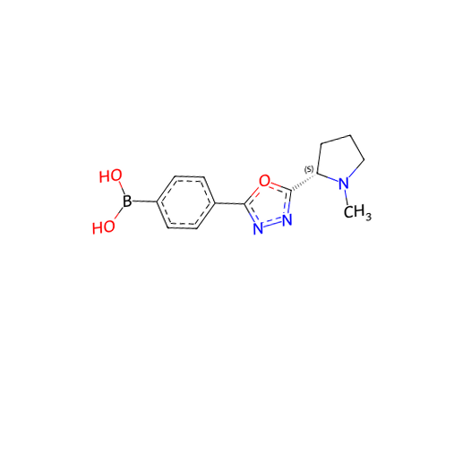 CN1CCC[C@H]1c1nnc(-c2ccc(B(O)O)cc2)o1